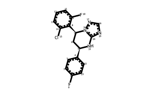 Fc1ccc([C@H]2C[C@@H](c3c(F)cccc3Cl)n3ncnc3N2)cc1